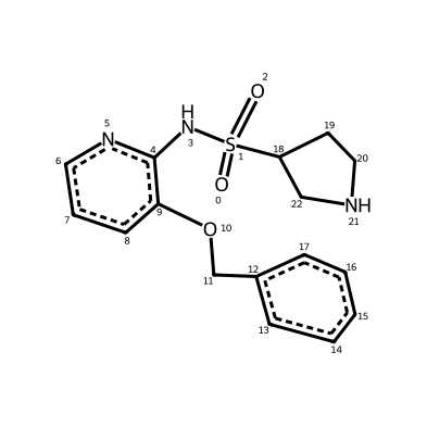 O=S(=O)(Nc1ncccc1OCc1ccccc1)C1CCNC1